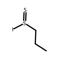 CCCS(=S)I